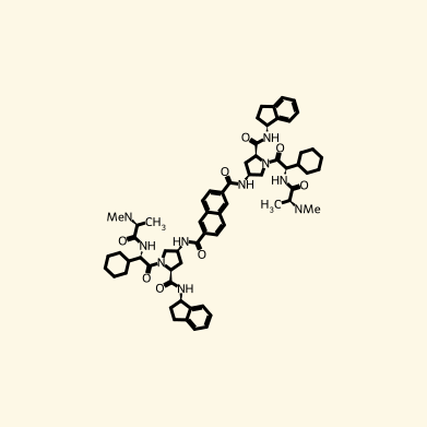 CN[C@@H](C)C(=O)N[C@H](C(=O)N1C[C@@H](NC(=O)c2ccc3cc(C(=O)N[C@H]4C[C@@H](C(=O)N[C@@H]5CCc6ccccc65)N(C(=O)[C@@H](NC(=O)[C@H](C)NC)C5CCCCC5)C4)ccc3c2)C[C@H]1C(=O)N[C@@H]1CCc2ccccc21)C1CCCCC1